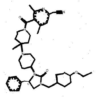 CCOC1CCC(CN2C[C@@H](c3ccccc3)N(C3CCN(C4(C)CCN(C(=O)c5c(C)cc(C#N)nc5C)CC4)CC3)C2=O)CC1